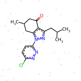 CC(C)Cc1nn(-c2ccc(Cl)nn2)c2c1C(=O)CC(C)C2